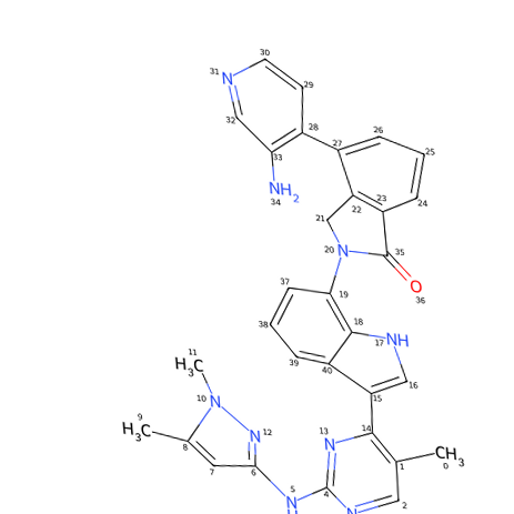 Cc1cnc(Nc2cc(C)n(C)n2)nc1-c1c[nH]c2c(N3Cc4c(cccc4-c4ccncc4N)C3=O)cccc12